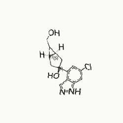 OCC1[C@H]2C[C@](O)(c3cc(Cl)cc4[nH]ncc34)C[C@@H]12